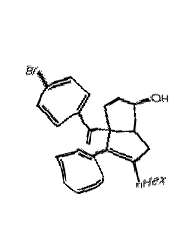 C=C(c1ccc(Br)cc1)[C@@]12CC[C@@H](O)C1CC(CCCCCC)=C2c1ccccc1